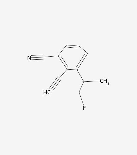 C#Cc1c(C#N)cccc1[C](C)CF